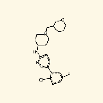 Fc1ccc(Cl)c(-c2ccc(NC3CCN(CC4CCCOC4)CC3)nn2)c1